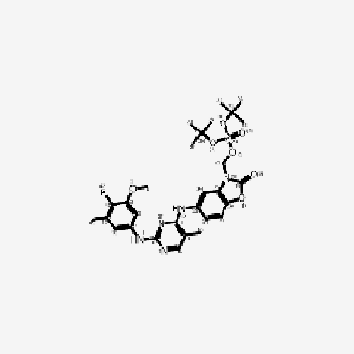 COc1cc(Nc2ncc(C)c(Nc3ccc4oc(=O)n(COP(=O)(OC(C)(C)C)OC(C)(C)C)c4c3)n2)cc(C)c1F